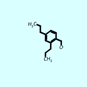 CCCc1ccc(C[O])c(CCC)c1